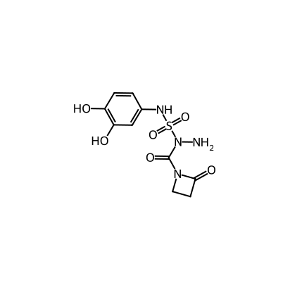 NN(C(=O)N1CCC1=O)S(=O)(=O)Nc1ccc(O)c(O)c1